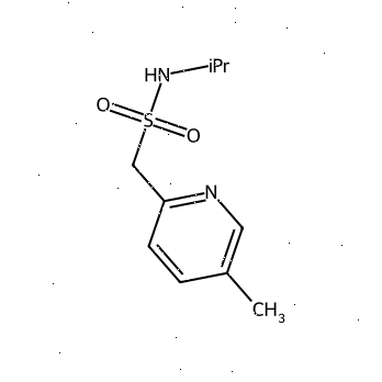 Cc1ccc(CS(=O)(=O)NC(C)C)nc1